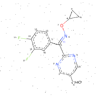 O=Cc1cnc(/C(=N/OC2CC2)c2ccc(F)c(F)c2)nc1